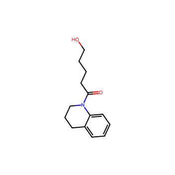 O=C(CCCCO)N1CCCc2ccccc21